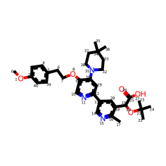 COc1ccc(CCOc2cnc(-c3cnc(C)c(C(OC(C)(C)C)C(=O)O)c3)cc2N2CCC(C)(C)CC2)cc1